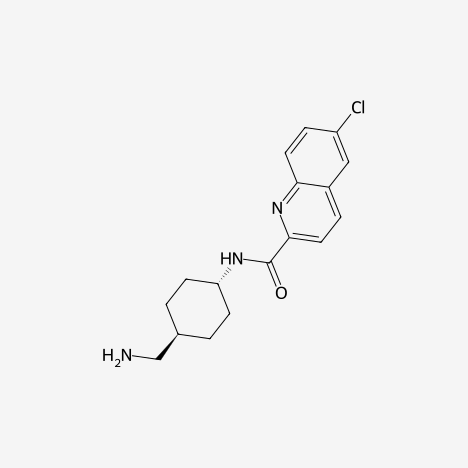 NC[C@H]1CC[C@H](NC(=O)c2ccc3cc(Cl)ccc3n2)CC1